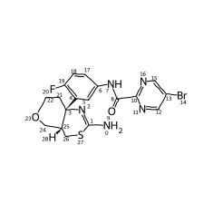 NC1=N[C@@]2(c3cc(NC(=O)c4ncc(Br)cn4)ccc3F)CCOC[C@H]2CS1